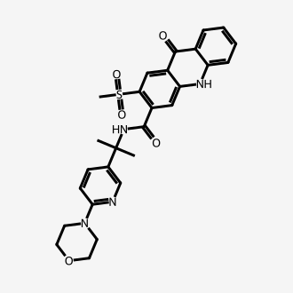 CC(C)(NC(=O)c1cc2[nH]c3ccccc3c(=O)c2cc1S(C)(=O)=O)c1ccc(N2CCOCC2)nc1